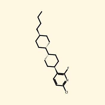 CCCC[C@H]1CC[C@H]([C@H]2CC[C@H](c3ccc(Cl)nc3F)CC2)CC1